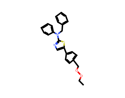 CCOOCc1ccc(-c2cnc(N(Cc3ccccc3)c3ccccc3)s2)cc1